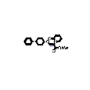 COC(=O)/C(=C/O[C@H]1CC[C@@H](c2ccccc2)CC1)n1ccccc1=O